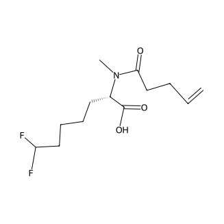 C=CCCC(=O)N(C)[C@@H](CCCCC(F)F)C(=O)O